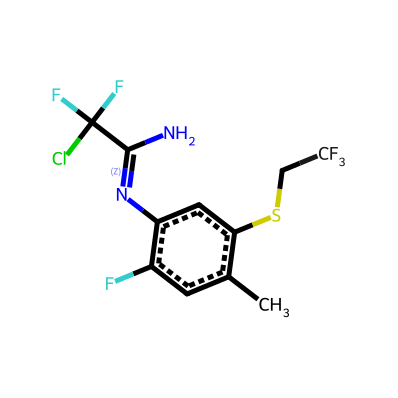 Cc1cc(F)c(/N=C(\N)C(F)(F)Cl)cc1SCC(F)(F)F